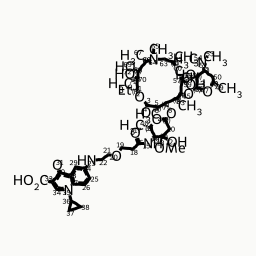 CC[C@H]1OC(=O)[C@H](C)[C@@H](O[C@H]2C[C@@](O)(OC)[C@H](NC(=O)CCOCCNc3ccc4c(c3)c(=O)c(C(=O)O)cn4C3CC3)[C@H](C)O2)[C@H](C)[C@@H](O[C@@H]2O[C@H](C)C[C@H](N(C)C)[C@H]2O)[C@](C)(O)C[C@@H](C)CN(C)[C@H](C)[C@H](O)[C@]1(C)O